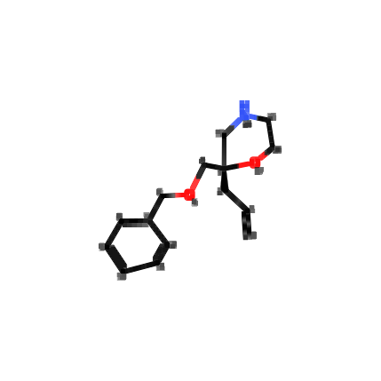 C=CC[C@@]1(COCc2ccccc2)CNCCO1